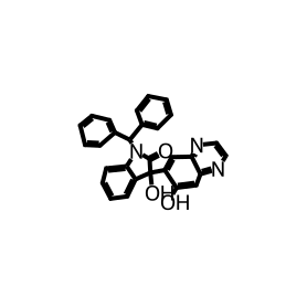 O=C1N(C(c2ccccc2)c2ccccc2)c2ccccc2C1(O)c1cc2nccnc2cc1O